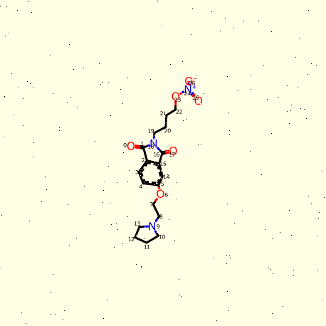 O=C1c2ccc(OCCN3CCCC3)cc2C(=O)N1CCCCO[N+](=O)[O-]